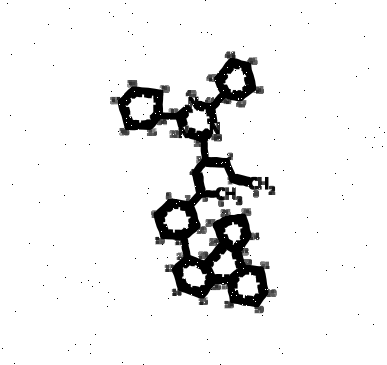 C=C/C=C(\C=C(/C)c1cccc(-c2cccc3c4ccccc4c4ccccc4c23)c1)c1nc(-c2ccccc2)nc(-c2ccccc2)n1